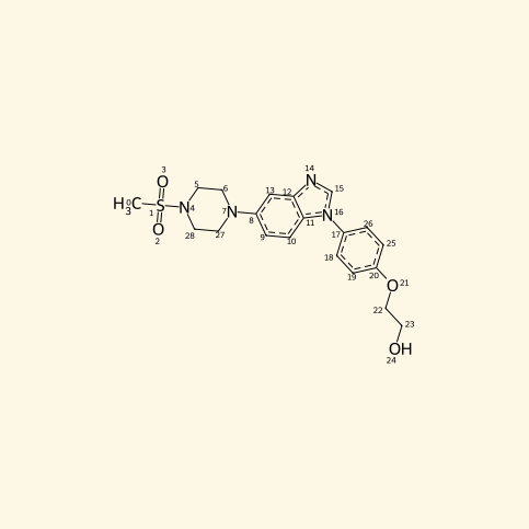 CS(=O)(=O)N1CCN(c2ccc3c(c2)ncn3-c2ccc(OCCO)cc2)CC1